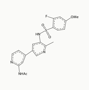 COc1ccc(S(=O)(=O)Nc2cc(-c3ccnc(NC(C)=O)c3)cnc2C)c(F)c1